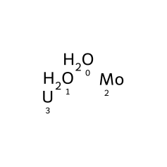 O.O.[Mo].[U]